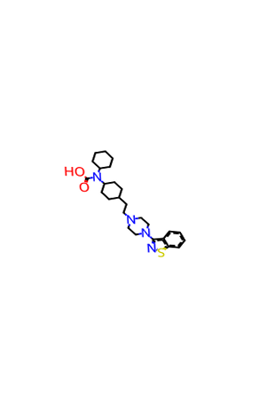 O=C(O)N(C1CCCCC1)C1CCC(CCN2CCN(c3nsc4ccccc34)CC2)CC1